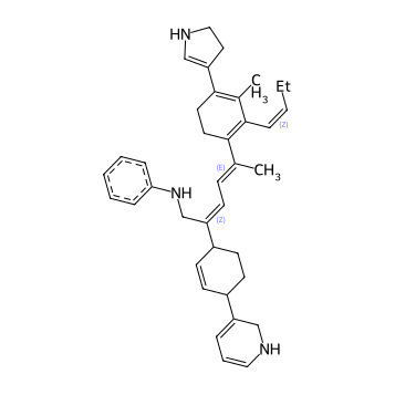 CC/C=C\C1=C(C(/C)=C/C=C(\CNc2ccccc2)C2C=CC(C3=CC=CNC3)CC2)CCC(C2=CNCC2)=C1C